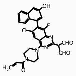 C=CC(=O)N1CCN(c2nc(C(C=O)C=O)nc3c(F)c(-c4cc(O)cc5ccccc45)c(Cl)cc23)CC1